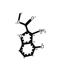 COC(=O)c1oc2cccc(Cl)c2c1N